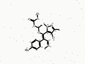 CCSC(=O)OC(C)O/C(=C(/C=N\C)c1ccc(C(C)(C)C)cc1)c1c(Cl)c(C)nn1C